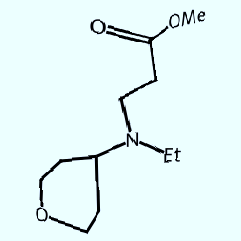 CCN(CCC(=O)OC)C1CCOCC1